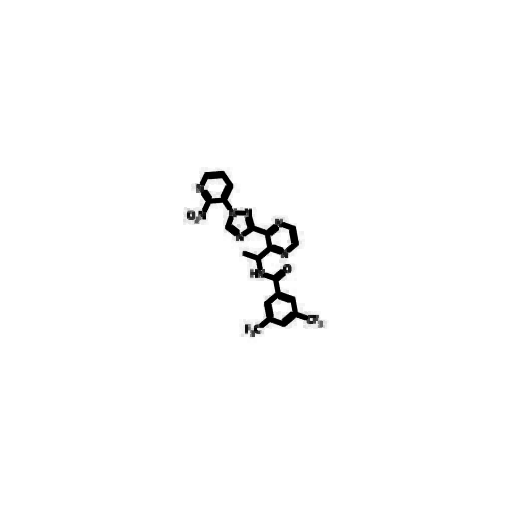 CC(NC(=O)c1cc(C(F)(F)F)cc(C(F)(F)F)c1)c1nccnc1-c1ncn(-c2cccnc2[N+](=O)[O-])n1